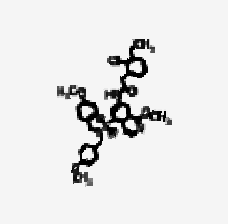 CCc1cccc(CC(=O)Nc2cc(S(=O)(=O)N(Cc3ccc(OC)cc3)Cc3ccc(OC)cc3)c3ccnc(OC)c3c2)c1Cl